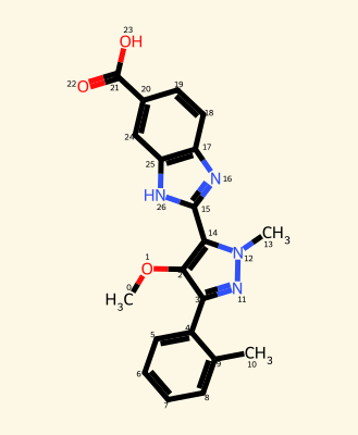 COc1c(-c2ccccc2C)nn(C)c1-c1nc2ccc(C(=O)O)cc2[nH]1